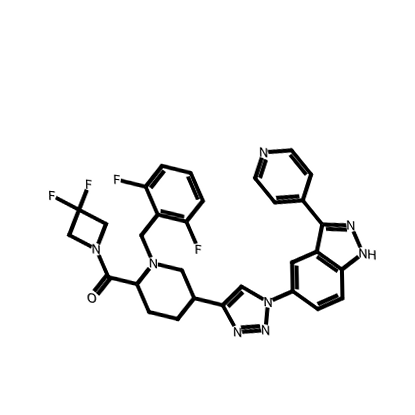 O=C(C1CCC(c2cn(-c3ccc4[nH]nc(-c5ccncc5)c4c3)nn2)CN1Cc1c(F)cccc1F)N1CC(F)(F)C1